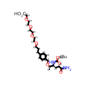 C[C@@H](OCc1ccc(CCCOCCOCCOCCOCC(=O)O)cc1)[C@H](CCC(N)=O)NC(=O)OC(C)(C)C